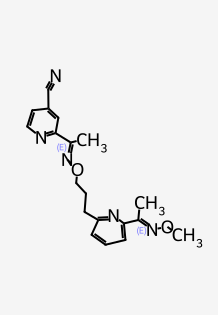 CO/N=C(\C)c1cccc(CCCO/N=C(\C)c2cc(C#N)ccn2)n1